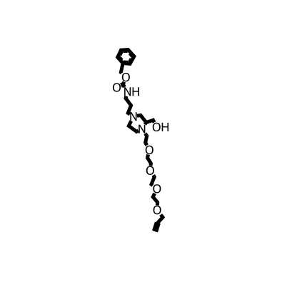 C#CCOCCOCCOCCOCCN1CCN(CCCNC(=O)OCc2ccccc2)CC1CO